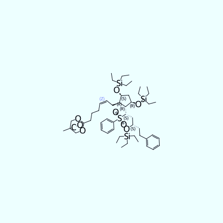 CC[Si](CC)(CC)O[C@@H](CCc1ccccc1)C[C@@H]([C@@H]1[C@@H](C/C=C\CCCC23OCC(C)(CO2)CO3)[C@@H](O[Si](CC)(CC)CC)C[C@H]1O[Si](CC)(CC)CC)S(=O)(=O)c1ccccc1